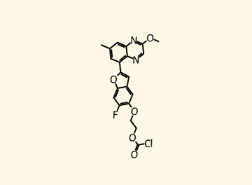 COc1cnc2c(-c3cc4cc(OCCOC(=O)Cl)c(F)cc4o3)cc(C)cc2n1